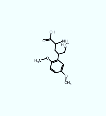 CCC(CC(N)C(=O)O)c1cc(OC)ccc1OC